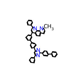 Cc1ccc2ccc3c(-c4cccc(-c5ccc(-c6cc(-c7ccccc7)nc(-c7ccc(-c8ccccc8)cc7)n6)cc5)c4)cc(-c4ccccc4)nc3c2n1